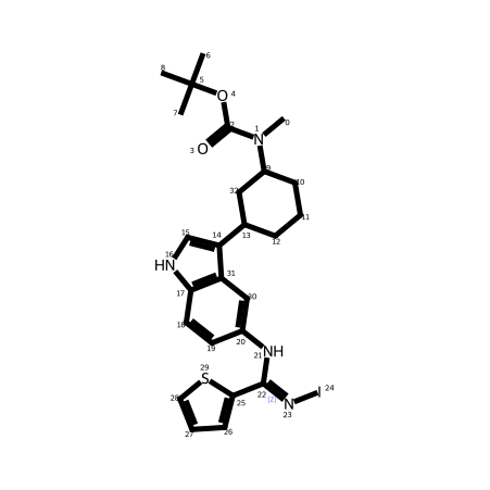 CN(C(=O)OC(C)(C)C)C1CCCC(c2c[nH]c3ccc(N/C(=N\I)c4cccs4)cc23)C1